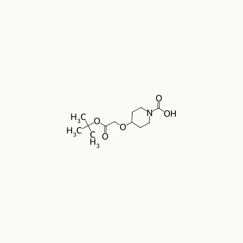 CC(C)(C)OC(=O)COC1CCN(C(=O)O)CC1